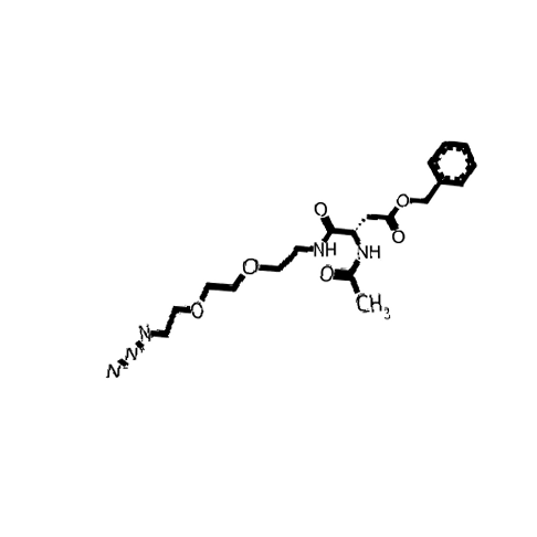 CC(=O)N[C@@H](CC(=O)OCc1ccccc1)C(=O)NCCOCCOCCN=[N+]=[N-]